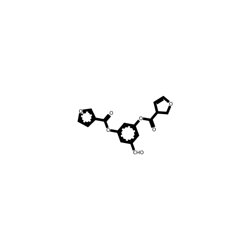 O=Cc1cc(OC(=O)c2ccoc2)cc(OC(=O)C2C=COC2)c1